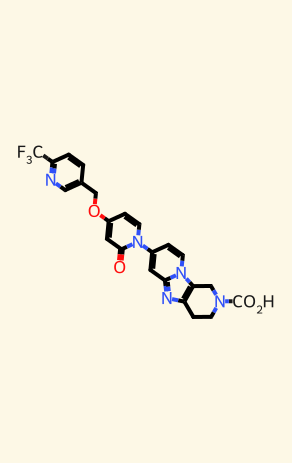 O=C(O)N1CCc2nc3cc(-n4ccc(OCc5ccc(C(F)(F)F)nc5)cc4=O)ccn3c2C1